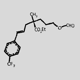 CCOC(=O)[C@](C)(C/C=C/c1ccc(C(F)(F)F)cc1)CCCOC=O